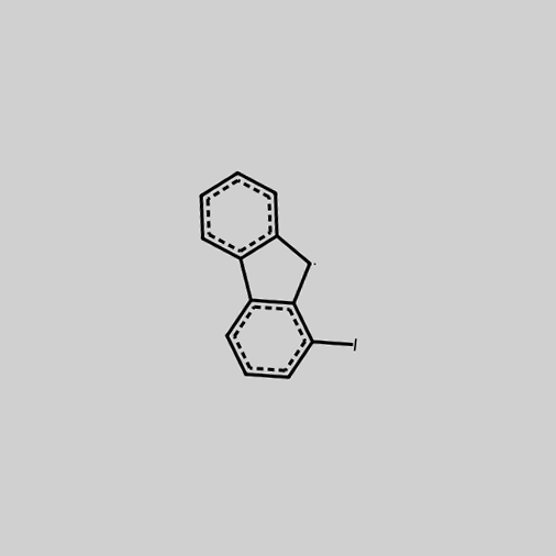 Ic1cccc2c1[CH]c1ccccc1-2